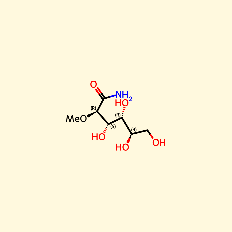 CO[C@@H](C(N)=O)[C@@H](O)[C@H](O)[C@H](O)CO